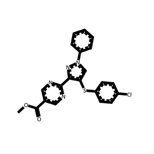 COC(=O)c1cnc(-c2nn(-c3ccccc3)cc2Sc2ccc(Cl)cc2)nc1